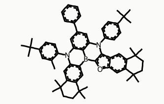 Cc1cc(C(C)(C)C)ccc1N1c2cc3c(cc2B2c4oc5cc6c(cc5c4N(c4ccc(C(C)(C)C)cc4)c4cc(-c5ccccc5)cc1c42)C(C)(C)CCC6(C)C)C(C)(C)CCC3(C)C